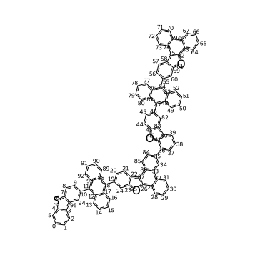 c1ccc2c(c1)sc1ccc(-c3c4ccccc4c(-c4ccc5c(c4)oc4c6ccccc6c6cc(-c7cccc8c7oc7ccc(-c9c%10ccccc%10c(-c%10ccc%11c(c%10)oc%10c%12ccccc%12c%12ccccc%12c%11%10)c%10ccccc9%10)cc78)ccc6c54)c4ccccc34)cc12